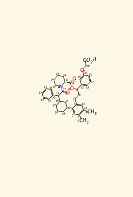 Cc1ccc(CCC(OC(=O)[C@@H]2CCCCN2C(=O)C(c2ccccc2)C2CCCCC2)c2cccc(OCC(=O)O)c2)cc1C